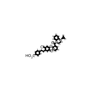 O=C(O)c1ccc(CCc2cc(Cl)c(Oc3ncccc3C(=O)N3CCN(C4CC4)c4ccccc43)cc2Cl)cc1